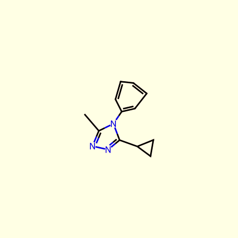 Cc1nnc(C2CC2)n1-c1ccccc1